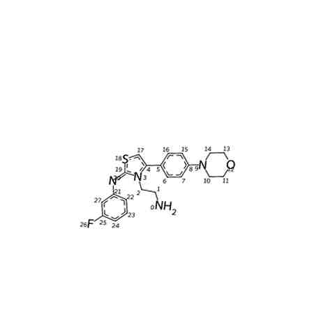 NCCn1c(-c2ccc(N3CCOCC3)cc2)cs/c1=N/c1cccc(F)c1